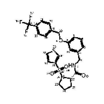 O=C(NCc1cccc(OCc2ccc(C(F)(F)F)cc2)c1)[C@@H]1CCCN1S(=O)(=O)c1ccsc1